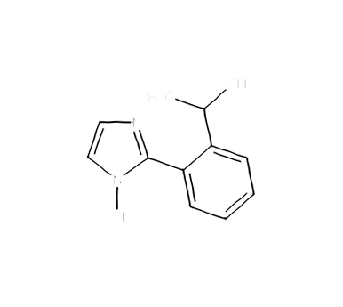 CC(C)c1ccccc1-c1nccn1C